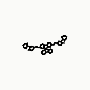 C(=C\c1ccc2sc3ccccc3c2c1)/c1ccc2c(c1)C1(c3ccccc3-c3ccccc31)c1cc(/C=C/c3ccc4sc5ccccc5c4c3)ccc1-2